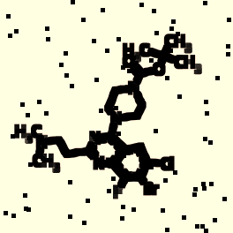 CN(C)CCc1nc(N2CCN(C(=O)OC(C)(C)C)CC2)c2cc(Cl)c(Br)c(F)c2n1